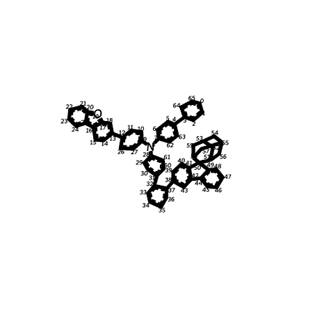 c1ccc(-c2ccc(N(c3ccc(-c4ccc5c(c4)oc4ccccc45)cc3)c3ccc(-c4ccccc4-c4ccc5c(c4)-c4ccccc4C54C5CC6CC(C5)CC4C6)cc3)cc2)cc1